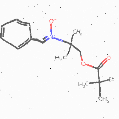 CCC(C)(C)C(=O)OCC(C)(C)/[N+]([O-])=C/c1ccccc1